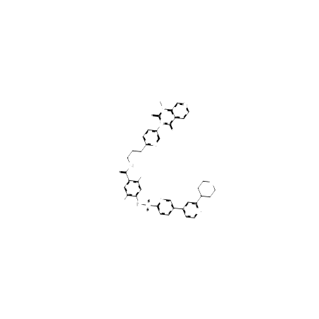 Cn1c(=O)n(-c2ccc(CC[C@H](NC(=O)c3cc(F)c(NS(=O)(=O)c4ccc(-c5ccnc(C6CCOCC6)c5)cn4)cc3F)C(=O)O)nc2)c(=O)c2ccncc21